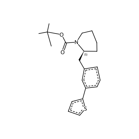 CC(C)(C)OC(=O)N1CCCC[C@H]1Cc1cccc(-c2cccs2)c1